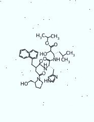 CC(C)C[C@H](NC(=O)[C@H](Cc1c[nH]cn1)NC(=O)C(CC(=O)N1CCC[C@H]1CO)Cc1cccc2ccccc12)C(O)C(=O)OC(C)C